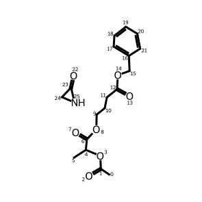 CC(=O)OC(C)C(=O)OCCCC(=O)OCc1ccccc1.O=C1CN1